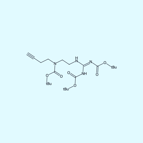 C#CCCN(CCN/C(=N/C(=O)OC(C)(C)C)NC(=O)OC(C)(C)C)C(=O)OC(C)(C)C